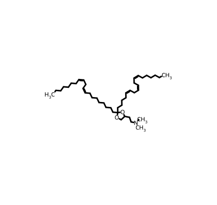 CCCCCC/C=C\C/C=C\C/C=C\CCCCC1(CCCCCCCC/C=C\C/C=C\CCCCCCC)OCC(CCN(C)C)O1